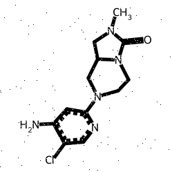 CN1CC2CN(c3cc(N)c(Cl)cn3)CCN2C1=O